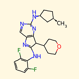 C[C@@H]1CC[C@H](Nc2ncc3c(n2)C(C2CCOCC2)C(Nc2c(F)cccc2F)=N3)C1